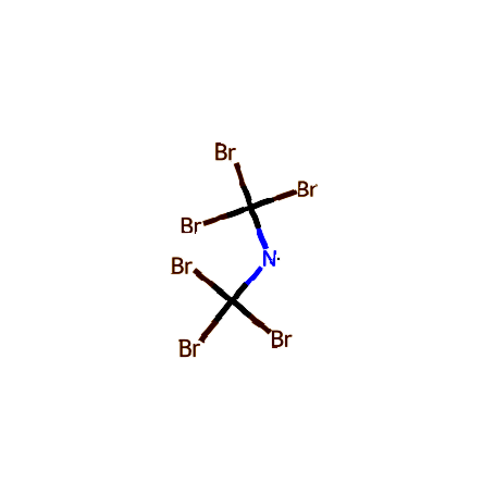 BrC(Br)(Br)[N]C(Br)(Br)Br